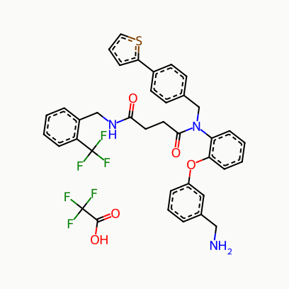 NCc1cccc(Oc2ccccc2N(Cc2ccc(-c3cccs3)cc2)C(=O)CCC(=O)NCc2ccccc2C(F)(F)F)c1.O=C(O)C(F)(F)F